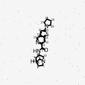 O=C(N[C@@H]1C[C@@H]2CCN(C2)C1)c1cc2sc(N3CCCC3)cc2cn1